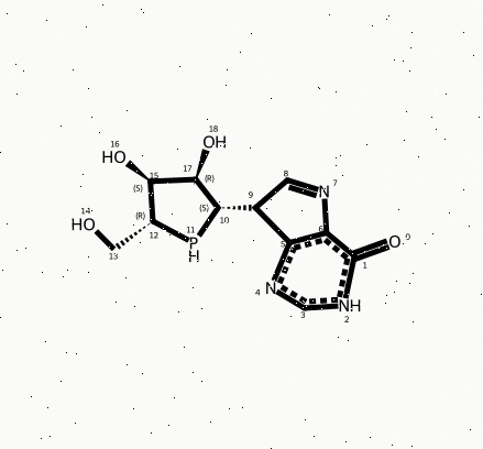 O=c1[nH]cnc2c1N=CC2[C@@H]1P[C@H](CO)[C@@H](O)[C@H]1O